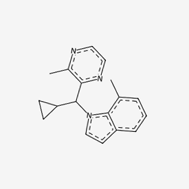 Cc1nccnc1C(C1CC1)n1ccc2cccc(C)c21